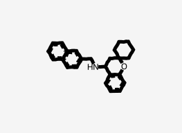 c1ccc2c(c1)OC1(CCCCC1)CC2NCc1ccc2ccccc2c1